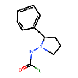 O=C(Cl)NN1CCCC1c1ccccc1